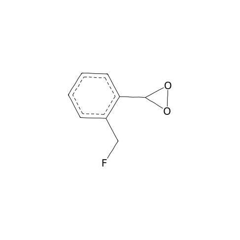 FCc1ccccc1C1OO1